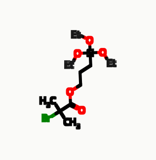 CCO[Si](CCCOC(=O)C(C)(C)Br)(OCC)OCC